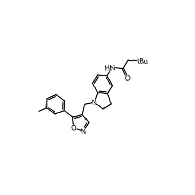 Cc1cccc(-c2oncc2CN2CCc3cc(NC(=O)CC(C)(C)C)ccc32)c1